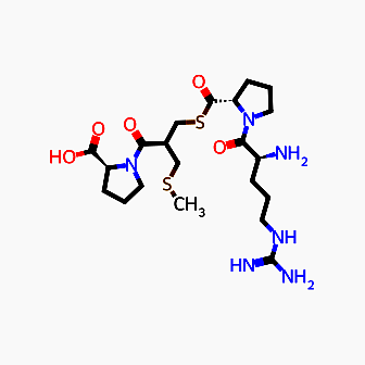 CSCC(CSC(=O)[C@@H]1CCCN1C(=O)[C@@H](N)CCCNC(=N)N)C(=O)N1CCC[C@H]1C(=O)O